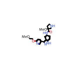 COCCOc1ccc(-c2n[nH]c3ccc(NC(=O)C4(OC)CCNC4)cc23)cn1